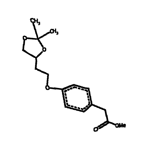 COC(=O)Cc1ccc(OCCC2COC(C)(C)O2)cc1